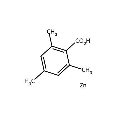 Cc1cc(C)c(C(=O)O)c(C)c1.[Zn]